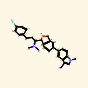 Cc1cn(C)c2ccc(-c3ccc4c(c3)COC4C(CCc3ccc(F)cc3)N(C)C)cc12